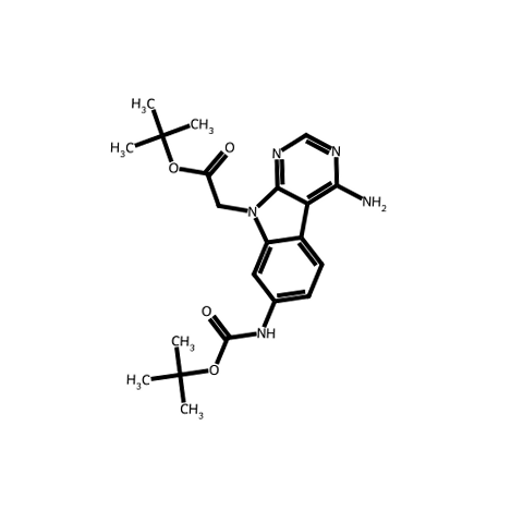 CC(C)(C)OC(=O)Cn1c2cc(NC(=O)OC(C)(C)C)ccc2c2c(N)ncnc21